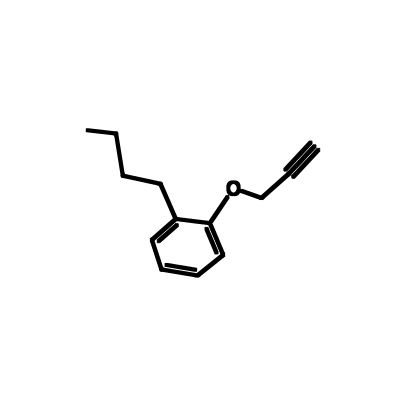 C#CCOc1ccccc1CCCC